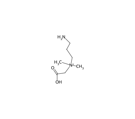 C[N+](C)(CCCN)CC(=O)O